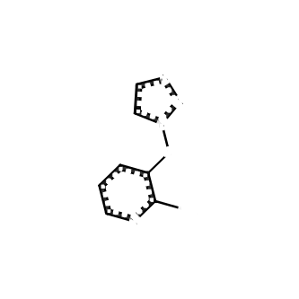 Cc1ncccc1Sn1ccnn1